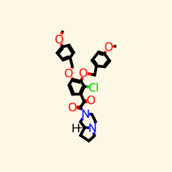 COc1ccc(COc2ccc(C(=O)C(=O)N3CCN4CCC[C@H]4C3)c(Cl)c2OCc2ccc(OC)cc2)cc1